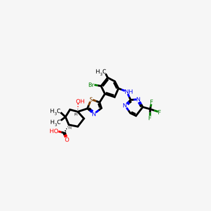 Cc1cc(Nc2nccc(C(F)(F)F)n2)cc(-c2cnc([C@@]3(O)CC[C@H](C(=O)O)C(C)(C)C3)s2)c1Br